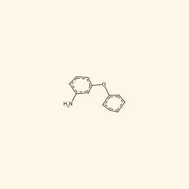 Nc1[c]ccc(Oc2ccccc2)c1